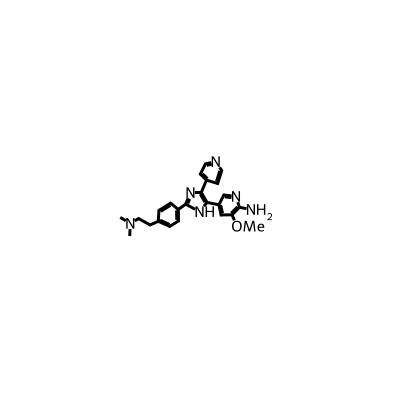 COc1cc(-c2[nH]c(-c3ccc(CCN(C)C)cc3)nc2-c2ccncc2)cnc1N